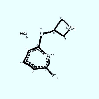 Cl.Fc1cccc(OC2CNC2)n1